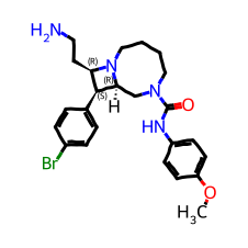 COc1ccc(NC(=O)N2CCCCN3[C@H](CCN)[C@H](c4ccc(Br)cc4)[C@@H]3C2)cc1